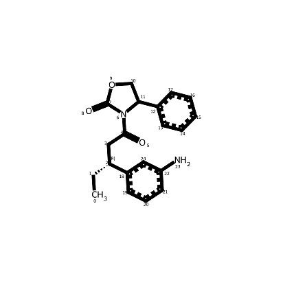 CC[C@H](CC(=O)N1C(=O)OCC1c1ccccc1)c1cccc(N)c1